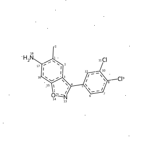 Cc1cc2c(-c3ccc(Cl)c(Cl)c3)noc2cc1N